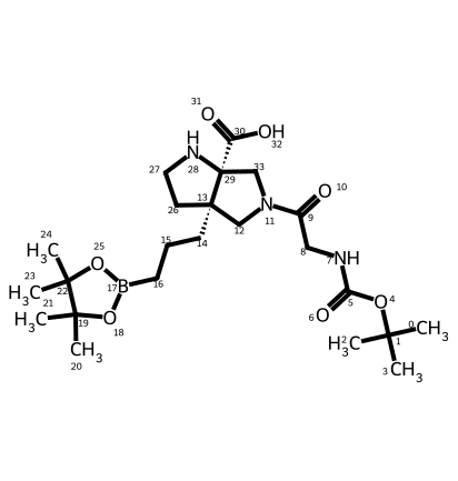 CC(C)(C)OC(=O)NCC(=O)N1C[C@@]2(CCCB3OC(C)(C)C(C)(C)O3)CCN[C@@]2(C(=O)O)C1